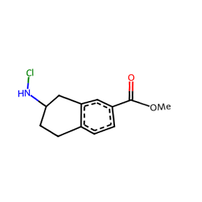 COC(=O)c1ccc2c(c1)CC(NCl)CC2